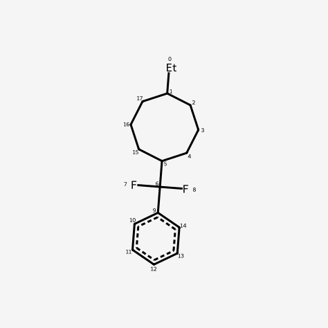 CCC1CCCC(C(F)(F)c2ccccc2)CCC1